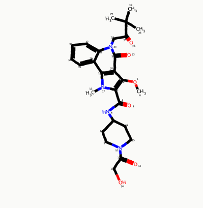 COc1c(C(=O)NC2CCN(C(=O)CO)CC2)n(C)c2c1c(=O)n(CC(=O)C(C)(C)C)c1ccccc21